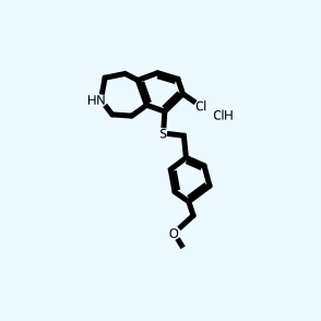 COCc1ccc(CSc2c(Cl)ccc3c2CCNCC3)cc1.Cl